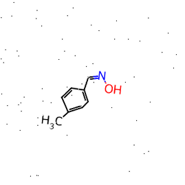 Cc1ccc(/C=N\O)cc1